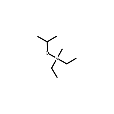 CC[Si](C)(CC)OC(C)C